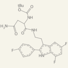 CC(C)(C)OC(=O)NC(CC(N)=O)C(=O)NCCc1c(-c2ccc(F)cc2)[nH]c2c(F)cc(F)cc12